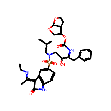 CCNC(C)=C1C(=O)Nc2ccc(S(=O)(=O)N(CC(C)C)CC(O)C(Cc3ccccc3)NC(=O)OC3COC4OCCC34)cc21